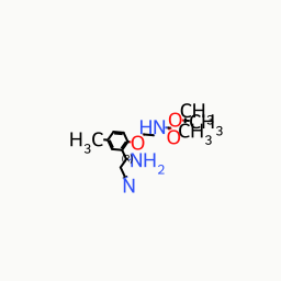 Cc1ccc(OCCNC(=O)OC(C)(C)C)c([C@H](N)CC#N)c1